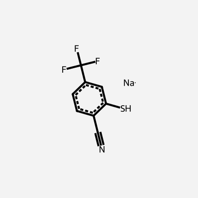 N#Cc1ccc(C(F)(F)F)cc1S.[Na]